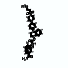 CC(C)OCCS(=O)(=O)N1CCN(c2ccc(N3CCN(OC(=O)NC4[C@@H]5CC6C[C@H]4CC(C(N)=O)(C6)C5)c4ccccc43)nc2)CC1